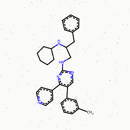 Cc1cccc(-c2cnc(NCC(Cc3ccccc3)NC3CCCCC3)nc2-c2ccncc2)c1